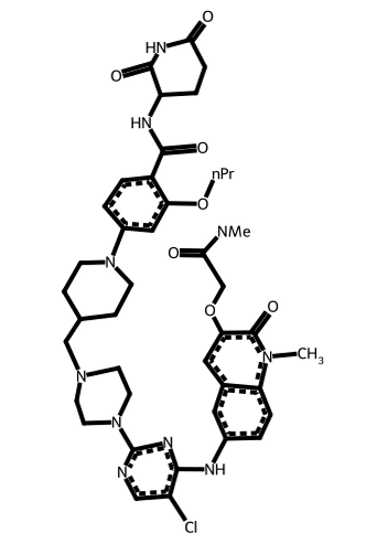 CCCOc1cc(N2CCC(CN3CCN(c4ncc(Cl)c(Nc5ccc6c(c5)cc(OCC(=O)NC)c(=O)n6C)n4)CC3)CC2)ccc1C(=O)NC1CCC(=O)NC1=O